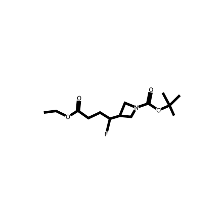 CCOC(=O)CCC(F)C1CN(C(=O)OC(C)(C)C)C1